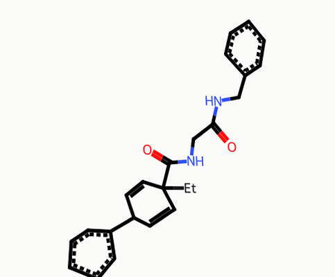 CCC1(C(=O)NCC(=O)NCc2ccccc2)C=CC(c2ccccc2)C=C1